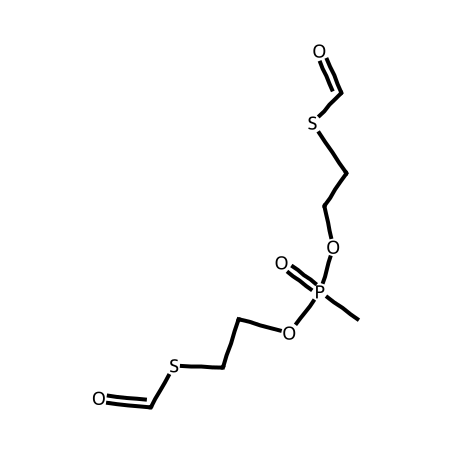 CP(=O)(OCCSC=O)OCCSC=O